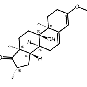 COC1=CC2=CC[C@H]3[C@@H]4C[C@H](C)C(=O)[C@@]4(C)CC[C@]3(O)[C@@]2(C)CC1